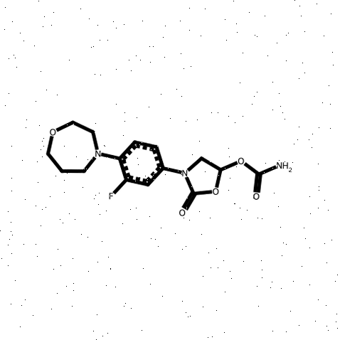 NC(=O)OC1CN(c2ccc(N3CCCOCC3)c(F)c2)C(=O)O1